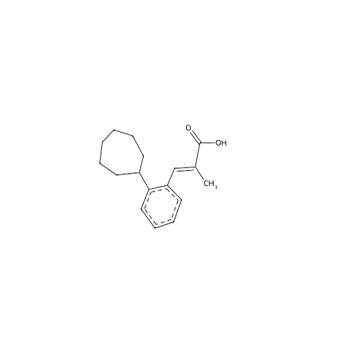 C/C(=C\c1ccccc1C1CCCCCC1)C(=O)O